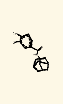 O=C(NC12CC3CC(CC(C3)C1)C2)c1ccc([N+](=O)[O-])c(Cl)c1